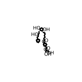 O=C(CCC/C=C\C[C@@H]1[C@@H](CC[C@@H](O)CCc2ccccc2)[C@H](O)C[C@@H]1O)Oc1ccc(C(=O)OC(CO)CO)cc1